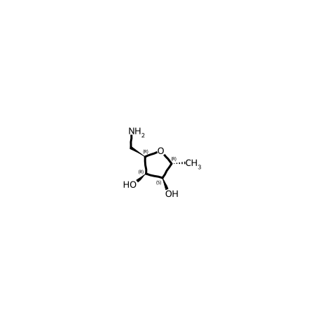 C[C@H]1O[C@H](CN)[C@H](O)[C@@H]1O